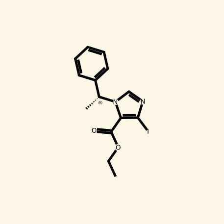 CCOC(=O)c1c(I)ncn1[C@H](C)c1ccccc1